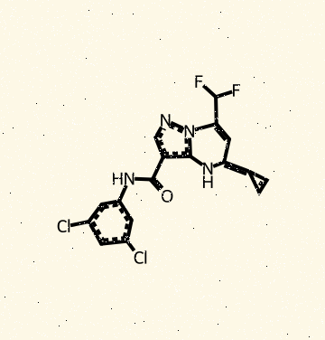 O=C(Nc1cc(Cl)cc(Cl)c1)c1cnn2c1NC(=C1C=C1)C=C2C(F)F